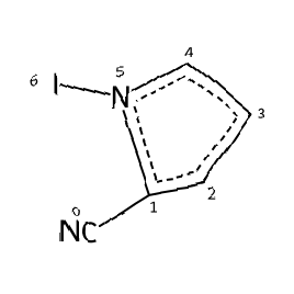 N#Cc1cccn1I